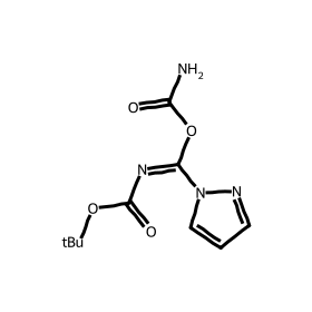 CC(C)(C)OC(=O)/N=C(/OC(N)=O)n1cccn1